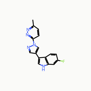 Cc1ccc(-n2cc(-c3c[nH]c4cc(F)ccc34)cn2)nn1